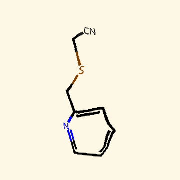 N#CCSCc1ccccn1